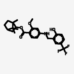 COc1cc(NCc2cc(C(F)(F)F)ccc2O)ccc1C(=O)OC1CC2CCC1(C)C2(C)C